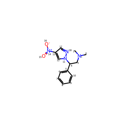 CN(C)CC(c1ccccc1)n1cc([N+](=O)[O-])cn1